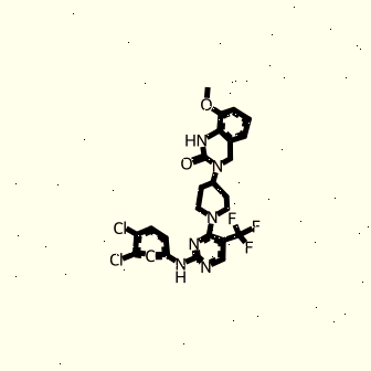 COc1cccc2c1NC(=O)N(C1CCN(c3nc(Nc4ccc(Cl)c(Cl)c4)ncc3C(F)(F)F)CC1)C2